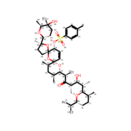 CC[C@@H](C(=O)[C@@H](C)[C@@H](O)[C@H](C)[C@@H]1O[C@@H]([C@@H](CC)C(C)=O)CC[C@@H]1C)[C@H]1O[C@]2(C=C[C@@H](OS(=O)(=O)c3ccc(C)cc3)[C@]3(CC[C@@](C)([C@H]4CC[C@](O)(CC)[C@H](C)O4)O3)O2)[C@H](C)C[C@@H]1C